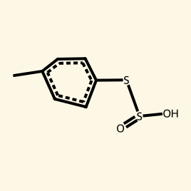 Cc1ccc(SS(=O)O)cc1